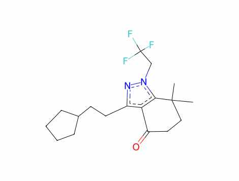 CC1(C)CCC(=O)c2c(CCC3CCCC3)nn(CC(F)(F)F)c21